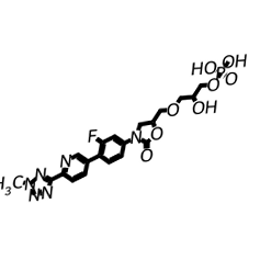 Cn1nnc(-c2ccc(-c3ccc(N4CC(COCC(O)COP(=O)(O)O)OC4=O)cc3F)cn2)n1